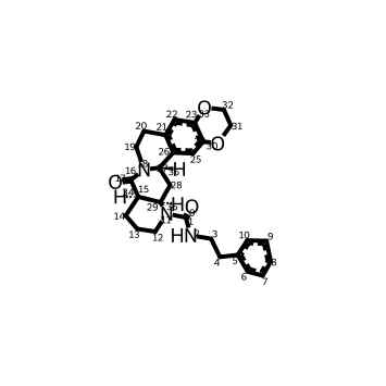 O=C(NCCc1ccccc1)N1CCC[C@H]2C(=O)N3CCc4cc5c(cc4[C@@H]3C[C@H]21)OCCO5